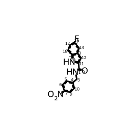 O=C(NCc1ccc([N+](=O)[O-])cc1)c1cc2cc(F)ccc2[nH]1